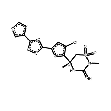 CN1C(=N)N[C@](C)(c2sc(-c3nnc(-c4cscn4)o3)cc2Cl)CS1(=O)=O